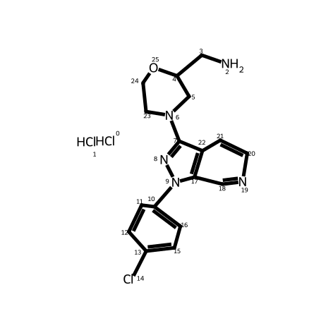 Cl.Cl.NCC1CN(c2nn(-c3ccc(Cl)cc3)c3cnccc23)CCO1